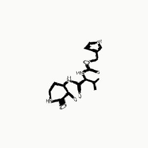 CC(C)C(NC(=S)OCc1cc[nH]c1)C(=O)NC1CCNC(=O)C1=O